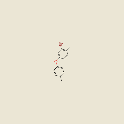 Cc1ccc(Oc2ccc(C)c(Br)c2)cc1